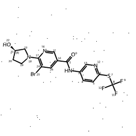 O=C(Nc1ccc(SC(F)(F)F)nc1)c1cnc(N2CC[C@@H](O)C2)c(Br)c1